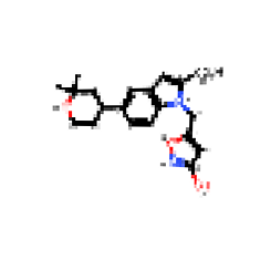 CC1(C)CC(c2ccc3c(c2)cc(C(=O)O)n3Cc2cc(O)no2)CCO1